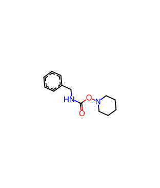 O=C(NCc1ccccc1)ON1CCCCC1